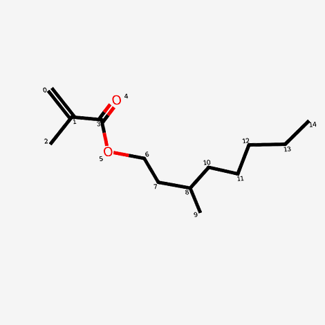 C=C(C)C(=O)OCCC(C)CCCCC